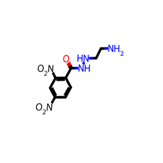 NCCNNC(=O)c1ccc([N+](=O)[O-])cc1[N+](=O)[O-]